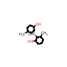 Cc1ccc(O)cc1.Cc1cccc(O)c1C=O